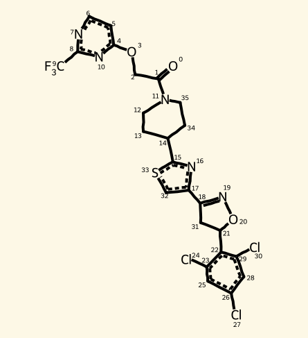 O=C(COc1ccnc(C(F)(F)F)n1)N1CCC(c2nc(C3=NOC(c4c(Cl)cc(Cl)cc4Cl)C3)cs2)CC1